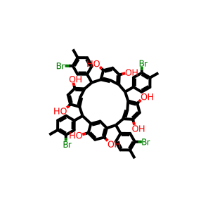 Cc1ccc(C2c3cc(c(O)cc3O)C(c3ccc(C)c(Br)c3)c3cc(c(O)cc3O)C(c3ccc(C)c(Br)c3)c3cc(c(O)cc3O)C(c3ccc(C)c(Br)c3)c3cc2c(O)cc3O)cc1Br